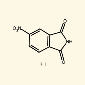 O=C1NC(=O)c2cc([N+](=O)[O-])ccc21.[KH]